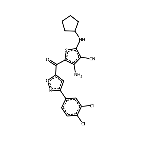 N#Cc1c(NC2CCCC2)sc(C(=O)c2cc(-c3ccc(Cl)c(Cl)c3)no2)c1N